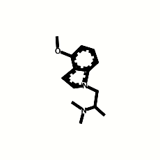 COc1cccc2c1ccn2CC(C)N(C)C